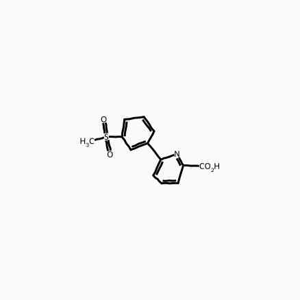 CS(=O)(=O)c1cccc(-c2cccc(C(=O)O)n2)c1